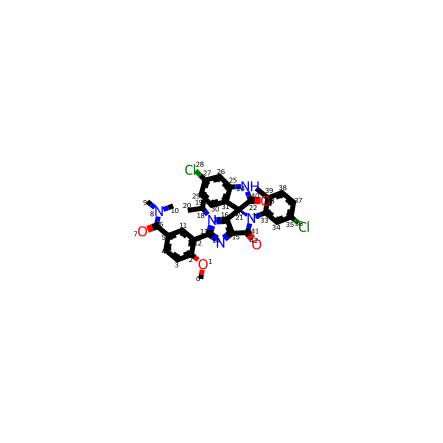 COc1ccc(C(=O)N(C)C)cc1-c1nc2c(n1C(C)C)[C@]1(C(=O)Nc3cc(Cl)ccc31)N(c1cc(Cl)ccc1C)C2=O